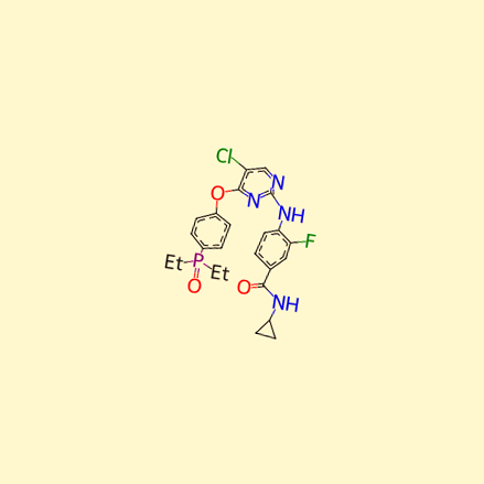 CCP(=O)(CC)c1ccc(Oc2nc(Nc3ccc(C(=O)NC4CC4)cc3F)ncc2Cl)cc1